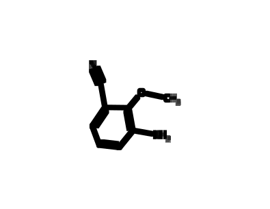 COc1c(N)cccc1C#N